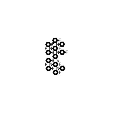 Fc1ccc(N2c3cc4c(cc3B3c5ccccc5N(c5c(F)cccc5F)c5cc(N(c6ccccc6)c6c(F)cccc6F)cc2c53)B2c3ccccc3N(c3c(F)cccc3F)c3cc(N(c5ccccc5)c5c(F)cccc5F)cc(c32)S4)c(F)c1